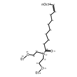 CCCCCCCC/C=C\CCCCCCCC(=O)N(CCOCC)CCOCC